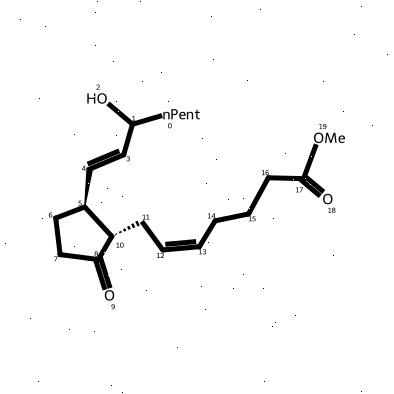 CCCCCC(O)C=C[C@@H]1CCC(=O)[C@H]1C/C=C\CCCC(=O)OC